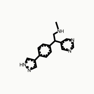 CNCC(c1ccc(-c2cn[nH]c2)cc1)c1cncnc1